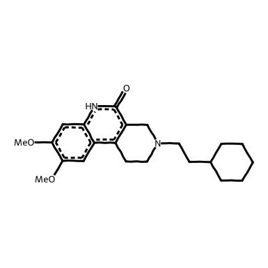 COc1cc2[nH]c(=O)c3c(c2cc1OC)CCN(CCC1CCCCC1)C3